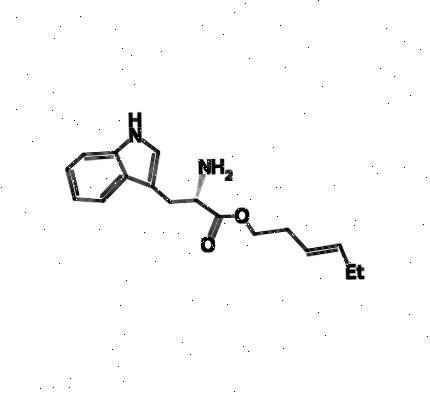 CCC=CCCOC(=O)[C@@H](N)Cc1c[nH]c2ccccc12